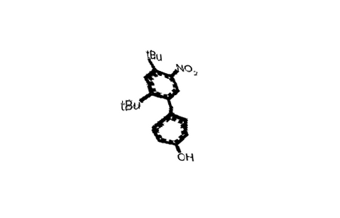 CC(C)(C)c1cc(C(C)(C)C)c([N+](=O)[O-])cc1-c1ccc(O)cc1